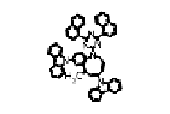 C=C1/C=C(n2c3ccccc3c3ccccc32)\C=C/CN(c2nc(-c3cccc4ccccc34)nc(-c3cccc4ccccc34)n2)c2ccc(-n3c4ccccc4c4ccccc43)cc21